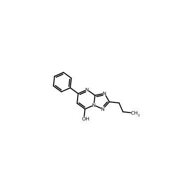 CCCc1nc2nc(-c3ccccc3)cc(O)n2n1